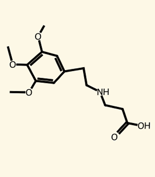 COc1cc(CCNCCC(=O)O)cc(OC)c1OC